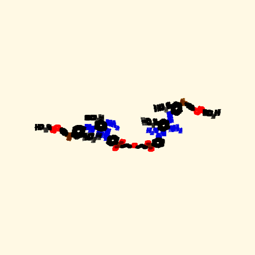 Nc1c(N=Nc2ccc(SC#COOS(=O)(=O)O)cc2S(=O)(=O)O)cc(S(=O)(=O)O)c(N)c1N=Nc1ccc(S(=O)(=O)CCCOCCCS(=O)(=O)c2cccc(N=Nc3c(N)c(N=Nc4ccc(SC#COOS(=O)(=O)O)cc4S(=O)(=O)O)cc(S(=O)(=O)O)c3N)c2)cc1